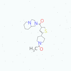 CC(=O)N1CCC(C2=CC(C(=O)N3CCN4CCCCC4C3)CS2)CC1